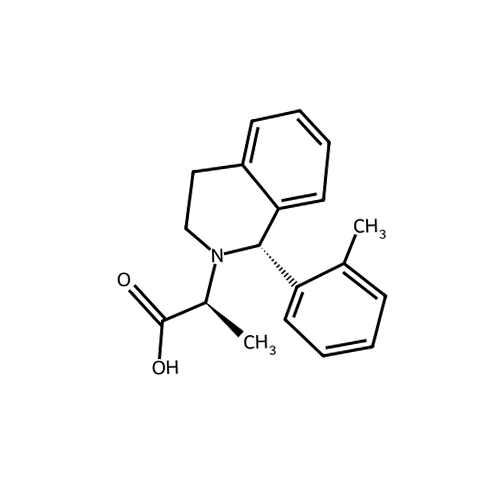 Cc1ccccc1[C@H]1c2ccccc2CCN1[C@@H](C)C(=O)O